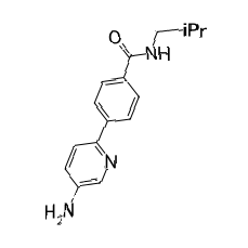 CC(C)CNC(=O)c1ccc(-c2ccc(N)cn2)cc1